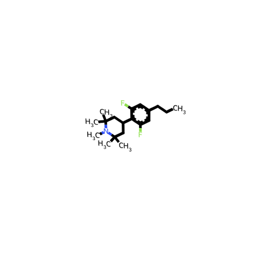 CCCc1cc(F)c(C2CC(C)(C)N(C)C(C)(C)C2)c(F)c1